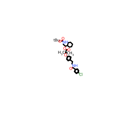 CC(C)(C)OC(=O)NCC(OC(=O)C(C)(C)Oc1ccc(CCNC(=O)c2ccc(Cl)cc2)cc1)C1CCCCC1